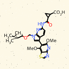 COc1nc2ncsc2c(OC)c1-c1cn(COCC[Si](C)(C)C)c2nc(NC(=O)C3CC3C(=O)O)ccc12